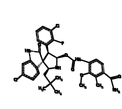 COc1c(NC(=O)O[C@H]2N[C@@H](CC(C)(C)C)[C@@]3(C(=O)Nc4cc(Cl)ccc43)[C@H]2c2cccc(Cl)c2F)ccc(C(N)=O)c1C